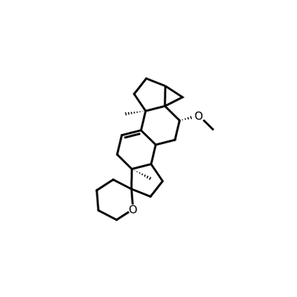 CO[C@@H]1CC2C(=CC[C@@]3(C)C2CCC32CCCCO2)[C@@]2(C)CCC3CC312